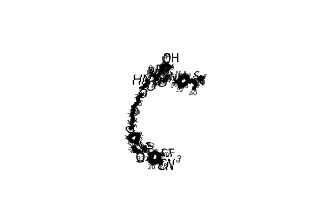 CCC[C@H](NC(=O)COCCCOCCCCOc1ccc(N2C(=S)N(c3ccc(C#N)c(C(F)(F)F)c3)C(=O)C2(C)C)cc1)C(=O)N1C[C@H](O)C[C@H]1C(=O)NCc1ccc(-c2scnc2C)cc1